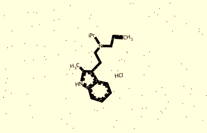 C=CCN(CCc1c(C)[nH]c2ccccc12)C(C)C.Cl